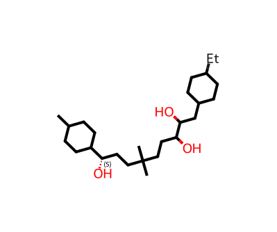 CCC1CCC(CC(O)C(O)CCC(C)(C)CC[C@H](O)C2CCC(C)CC2)CC1